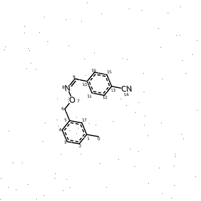 Cc1cccc(CO/N=[C]\c2ccc(C#N)cc2)c1